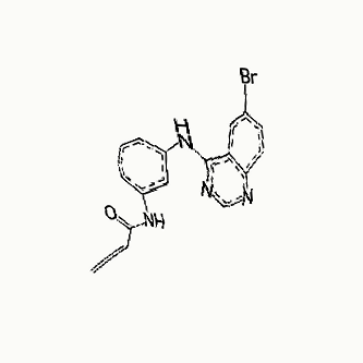 C=CC(=O)Nc1cccc(Nc2ncnc3ccc(Br)cc23)c1